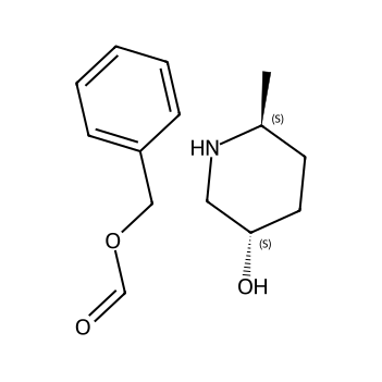 C[C@H]1CC[C@H](O)CN1.O=COCc1ccccc1